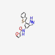 O=C(Nc1cc(-c2cc3ccccc3s2)c2[nH]ncc2c1)c1ccco1